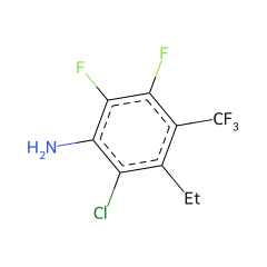 CCc1c(Cl)c(N)c(F)c(F)c1C(F)(F)F